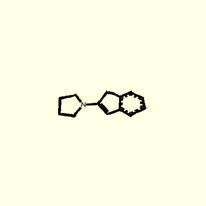 [CH]1C(N2CCCC2)=Cc2ccccc21